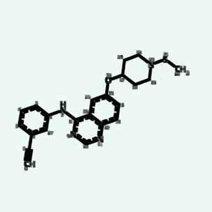 C#Cc1cccc(Nc2ncnc3ccc(OC4CCN(SC)CC4)cc23)c1